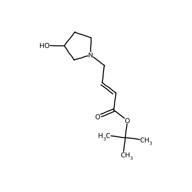 CC(C)(C)OC(=O)C=CCN1CCC(O)C1